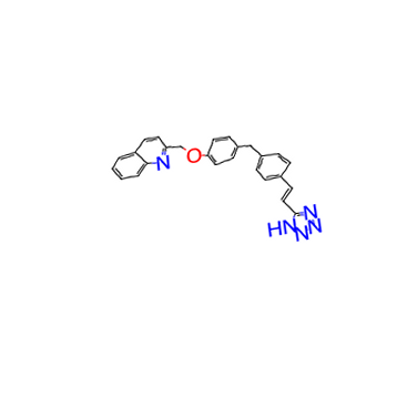 C(=Cc1nnn[nH]1)c1ccc(Cc2ccc(OCc3ccc4ccccc4n3)cc2)cc1